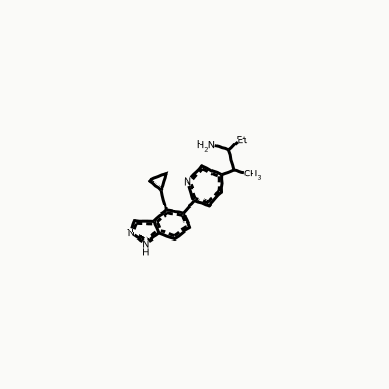 CCC(N)C(C)c1ccc(-c2ccc3[nH]ncc3c2C2CC2)nc1